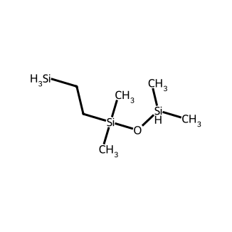 C[SiH](C)O[Si](C)(C)CC[SiH3]